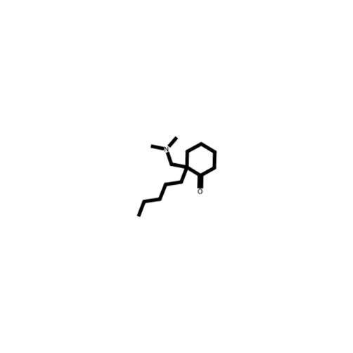 CCCCCC1(CN(C)C)CCCCC1=O